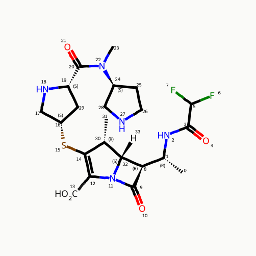 C[C@@H](NC(=O)C(F)F)[C@H]1C(=O)N2C(C(=O)O)=C(S[C@@H]3CN[C@H](C(=O)N(C)[C@H]4CCNC4)C3)[C@H](C)[C@H]12